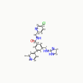 Cc1cc(-c2cc(CNC3=NCCN3)cc(C(=O)NCc3ccc(Cl)cn3)c2)ccn1